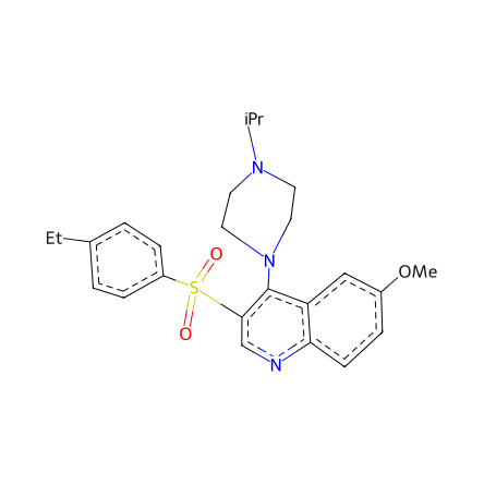 CCc1ccc(S(=O)(=O)c2cnc3ccc(OC)cc3c2N2CCN(C(C)C)CC2)cc1